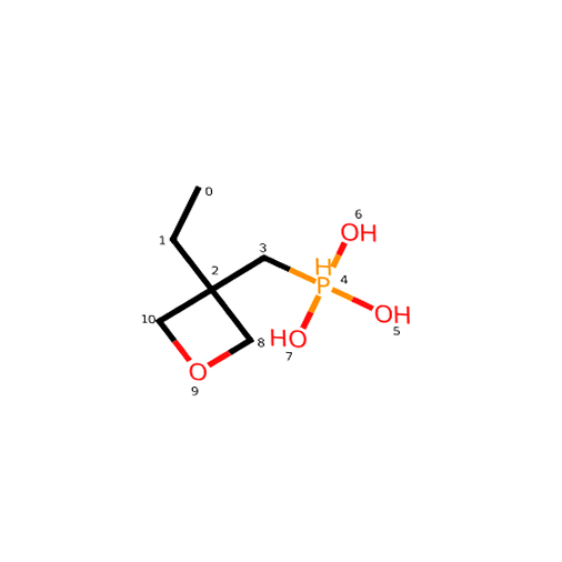 CCC1(C[PH](O)(O)O)COC1